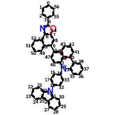 c1ccc(-c2nc3c(cc(-c4ccc(N(c5ccc(-n6c7ccccc7c7ccccc76)cc5)c5ccccc5-c5ccccc5)cc4)c4ccccc43)o2)cc1